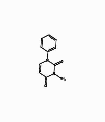 Nn1c(=O)ccn(-c2ccccc2)c1=O